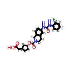 O=C(O)CC1CCC(OC(=O)N2CCc3cc(NC(=O)Nc4ccccc4F)ccc3C2)C1